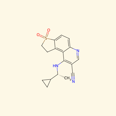 C[C@@H](Nc1c(C#N)cnc2ccc3c(c12)CCS3(=O)=O)C1CC1